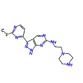 CSc1nccc(-c2n[nH]c3nc(NCCN4CCNCC4)ncc23)n1